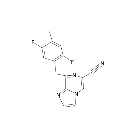 Cc1cc(F)c(Cc2nc(C#N)cn3ccnc23)cc1F